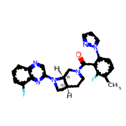 Cc1ccc(-n2cccn2)c(C(=O)N2CC[C@H]3CN(c4cnc5cccc(F)c5n4)[C@H]3C2)c1F